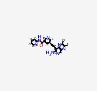 Cc1nc2cnc(N)c(C#Cc3cncc(C(=O)Nc4ccccn4)c3)c2nc1C